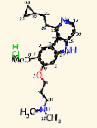 COc1cc2c(cc1OCCCN(C)C)[nH]c1ccnc(CCC3CC3)c12.Cl